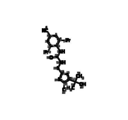 CC(C)c1cc(C#N)cc(C(C)C)c1NC(=O)NSc1cc(C(C)(C)O)c(Cl)s1